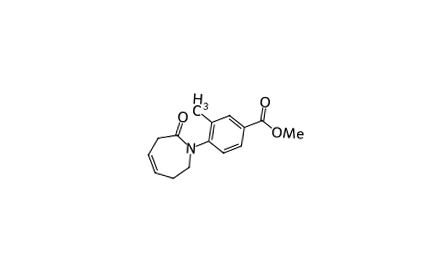 COC(=O)c1ccc(N2CCC=CCC2=O)c(C)c1